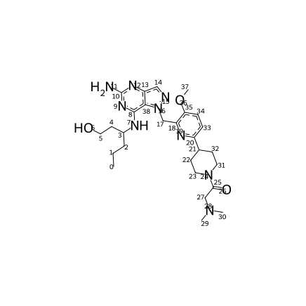 CCCC(CCO)Nc1nc(N)nc2cnn(Cc3nc(C4CCN(C(=O)CN(C)C)CC4)ccc3OC)c12